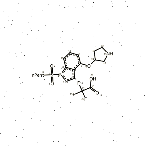 CCCCCS(=O)(=O)n1ncc2c(OC3CCNC3)cccc21.O=C(O)C(F)(F)F